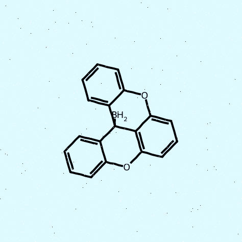 BC12c3ccccc3Oc3cccc(c31)Oc1ccccc12